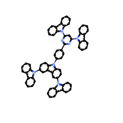 c1ccc2c(c1)c1ccccc1n2-c1ccc2c(c1)c1cc(-n3c4ccccc4c4ccccc43)ccc1n2-c1ccc(-c2nc(-n3c4ccccc4c4ccccc43)cc(-n3c4ccccc4c4ccccc43)n2)cc1